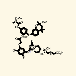 COC(=O)CSc1cc(/N=c2\sc(=O)n3n2CCCC3)c(F)cc1Cl.CON(C)C(=O)Nc1ccc(Oc2ccc3c(c2)OC(C)(OC)CC3(C)C)cc1.O=C(O)CNCP(=O)(O)O